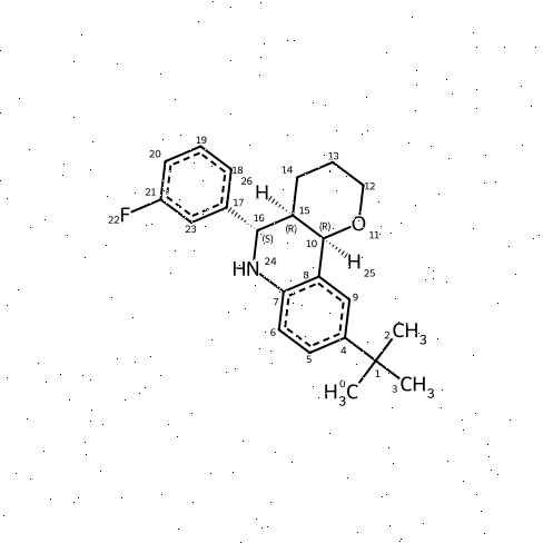 CC(C)(C)c1ccc2c(c1)[C@@H]1OCCC[C@@H]1[C@@H](c1cccc(F)c1)N2